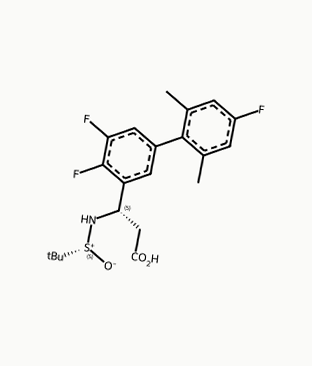 Cc1cc(F)cc(C)c1-c1cc(F)c(F)c([C@H](CC(=O)O)N[S@+]([O-])C(C)(C)C)c1